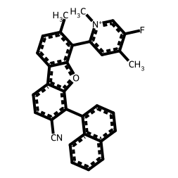 Cc1cc(-c2c(C)ccc3c2oc2c(-c4cccc5ccccc45)c(C#N)ccc23)[n+](C)cc1F